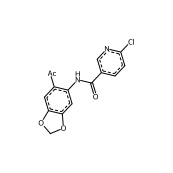 CC(=O)c1cc2c(cc1NC(=O)c1ccc(Cl)nc1)OCO2